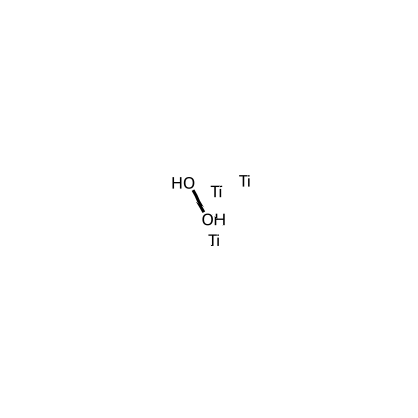 OO.[Ti].[Ti].[Ti]